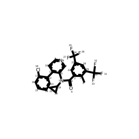 Cc1c(C(=O)N(c2cnccc2-c2ccccc2Cl)C2CC2)cc(C(F)(F)F)cc1C(F)(F)F